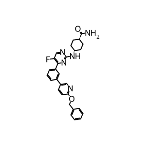 NC(=O)[C@H]1CC[C@H](Nc2ncc(F)c(-c3cccc(-c4ccc(OCc5ccccc5)nc4)c3)n2)CC1